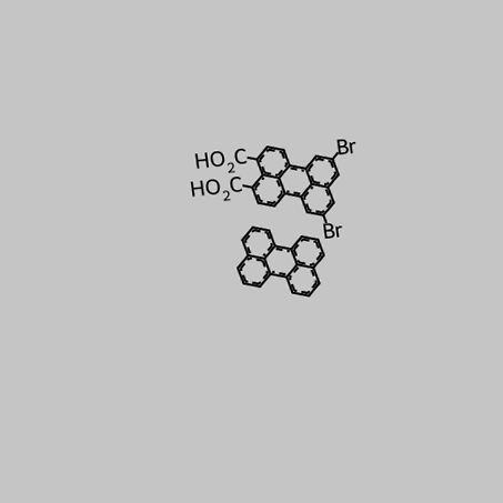 O=C(O)c1ccc2c3cc(Br)cc4cc(Br)cc(c5ccc(C(=O)O)c1c25)c43.c1cc2cccc3c4cccc5cccc(c(c1)c23)c54